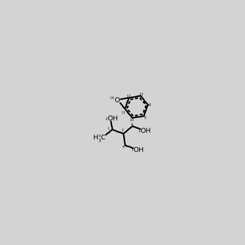 CC(O)C(CO)CO.c1ccc2c(c1)O2